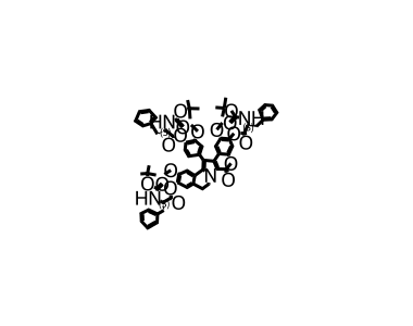 COc1cc(-c2c3n(c4c(=O)oc5cc(OC(=O)[C@H](Cc6ccccc6)NC(=O)OC(C)(C)C)c(OC)cc5c24)CCc2cc(OC(=O)[C@H](Cc4ccccc4)NC(=O)OC(C)(C)C)c(OC)cc2-3)ccc1OC(=O)[C@H](Cc1ccccc1)NC(=O)OC(C)(C)C